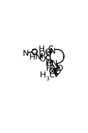 CN1CCCCC=CCCC(C(=O)NS(=O)(=O)C2(C)CC2)NC(=O)C2CC(OC(=O)Nc3cccc(C#N)c3)CC2C1=O